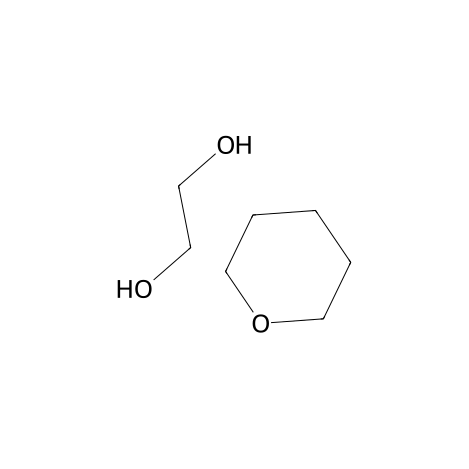 C1CCOCC1.OCCO